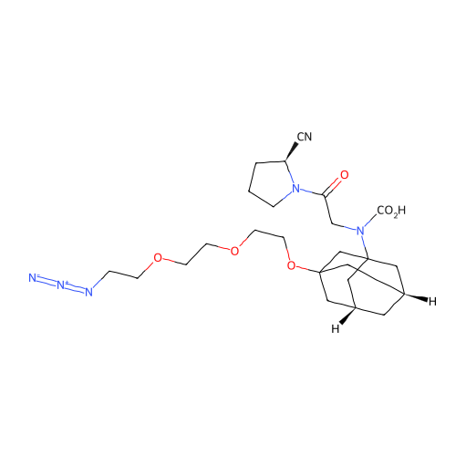 N#C[C@@H]1CCCN1C(=O)CN(C(=O)O)C12C[C@@H]3C[C@H](CC(OCCOCCOCCN=[N+]=[N-])(C3)C1)C2